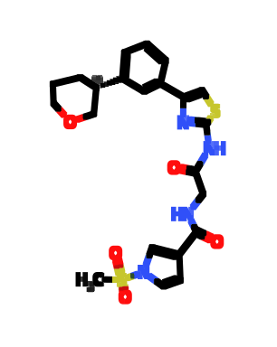 CS(=O)(=O)n1ccc(C(=O)NCC(=O)Nc2nc(-c3cccc([C@H]4CCCOC4)c3)cs2)c1